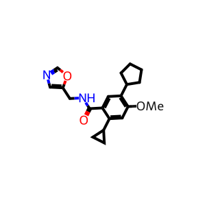 COc1cc(C2CC2)c(C(=O)NCc2cnco2)cc1C1CCCC1